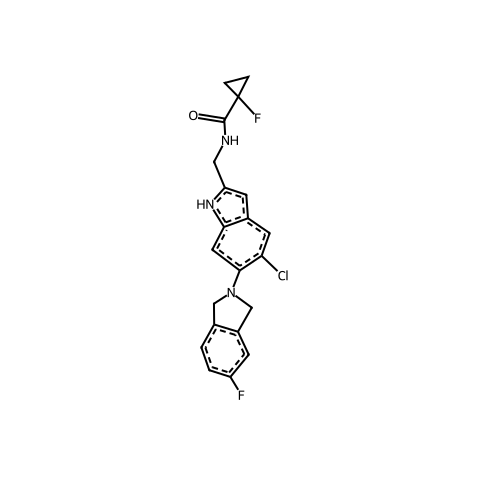 O=C(NCc1cc2cc(Cl)c(N3Cc4ccc(F)cc4C3)cc2[nH]1)C1(F)CC1